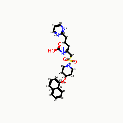 O=C(O)NC(CCCc1ncccn1)CS(=O)(=O)N1CCC(Oc2cccc3ccccc23)CC1